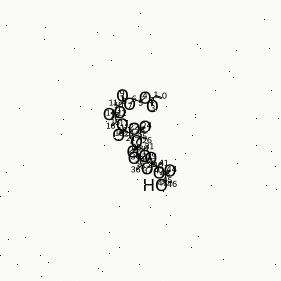 C=CC(=O)OCCOC(=O)C(C)OC(=O)C(C)OC(=O)C(C)OC(=O)C(C)OC(=O)C(C)OC(=O)C(C)OC(=O)C(C)OC(=O)C(C)O